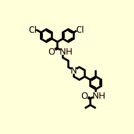 Cc1ccc(NC(=O)C(C)C)cc1C1CCN(CCCNC(=O)C(c2ccc(Cl)cc2)c2ccc(Cl)cc2)CC1